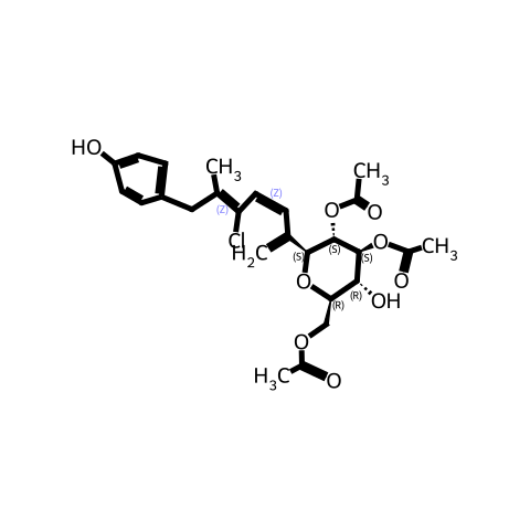 C=C(/C=C\C(Cl)=C(/C)Cc1ccc(O)cc1)[C@@H]1O[C@H](COC(C)=O)[C@@H](O)[C@H](OC(C)=O)[C@H]1OC(C)=O